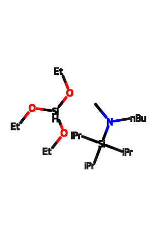 CCCCN(C)[Si](C(C)C)(C(C)C)C(C)C.CCO[SiH](OCC)OCC